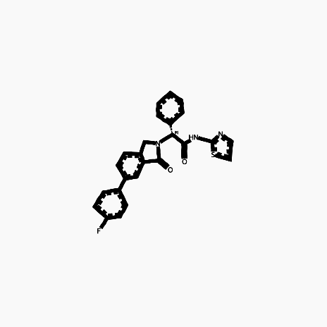 O=C(Nc1nccs1)[C@@H](c1ccccc1)N1Cc2ccc(-c3ccc(F)cc3)cc2C1=O